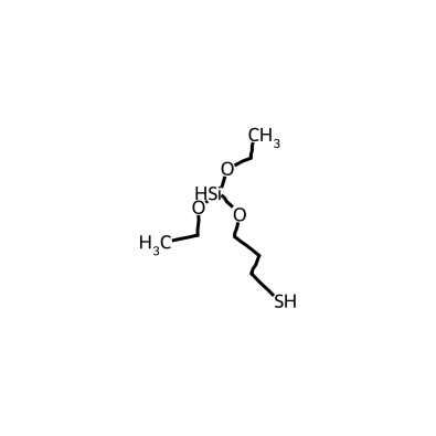 CCO[SiH](OCC)OCCCS